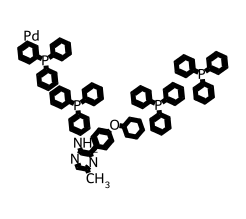 Cc1cnc(N)c(-c2ccc(OC3CCCCC3)cc2)n1.[Pd].c1ccc(P(c2ccccc2)c2ccccc2)cc1.c1ccc(P(c2ccccc2)c2ccccc2)cc1.c1ccc(P(c2ccccc2)c2ccccc2)cc1.c1ccc(P(c2ccccc2)c2ccccc2)cc1